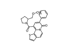 COCC1CCCN1C(=O)c1cc(-c2ccccc2)c(=O)n2ccc3ccsc3c12